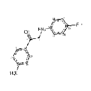 Cc1ccc(C(=O)CNc2ccc(F)cc2)cc1